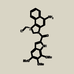 COc1cc2cc(C(=O)N3C[C@H](CCl)c4c3cc(N)c3ccccc43)[nH]c2c(OC)c1OC